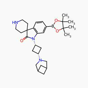 CC1(C)OB(c2ccc3c(c2)N([C@H]2C[C@@H](N4CC5CC(C5)C4)C2)C(=O)C32CCNCC2)OC1(C)C